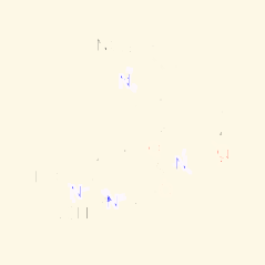 CN(C)c1ccc(S(=O)(=O)N2CCOc3ccc(-c4ccc(C#N)nc4)cc32)cn1